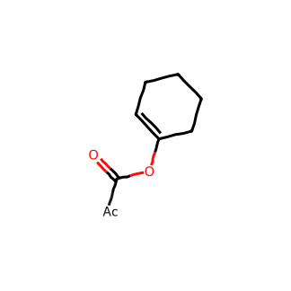 CC(=O)C(=O)OC1=CCCCC1